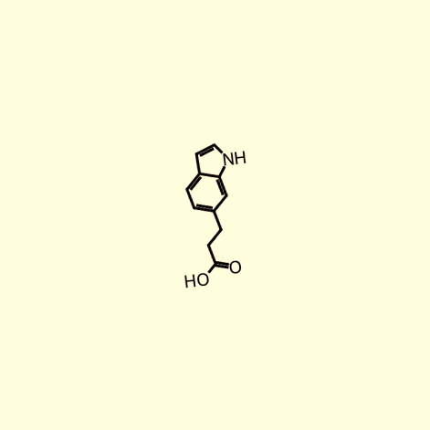 O=C(O)CCc1ccc2cc[nH]c2c1